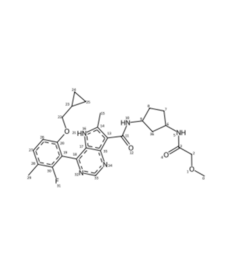 COCC(=O)NC1CCC(NC(=O)c2c(C)[nH]c3c(-c4c(OCC5CC5)ccc(C)c4F)ncnc23)C1